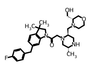 C[C@@H]1CN(CC(=O)N2CC(C)(C)c3ccc(Cc4ccc(F)cc4)cc32)[C@@H](CN2CCOC[C@H]2CO)CN1